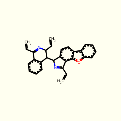 C=CC1=NC(C=C)C(C2N=C(C=C)c3c2ccc2c3oc3ccccc32)c2ccccc21